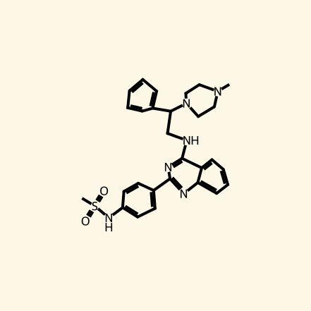 CN1CCN(C(CNc2nc(-c3ccc(NS(C)(=O)=O)cc3)nc3ccccc23)c2ccccc2)CC1